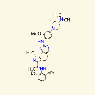 C=C(Nc1c(CC)cccc1CCC)C1=NC(C)C2=C1CCc1cnc(Nc3ccc(N4CCC(N(C)C#N)CC4)cc3OC)nc12